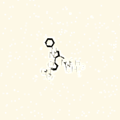 CN(C)N=Cc1cn(-c2ccccc2)nc1-c1ccc([N+](=O)[O-])o1